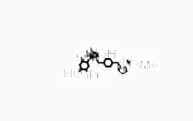 COC(=O)[C@@H]1CCCN1Cc1ccc(Cn2c(O)nnc2-c2cc(C(C)C)c(O)cc2O)cc1